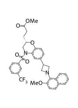 COC(=O)CC[C@H]1CN(S(=O)(=O)c2cccc(C(F)(F)F)c2)c2cc(C3CN(c4c(OC)ccc5ccccc45)C3)ccc2O1